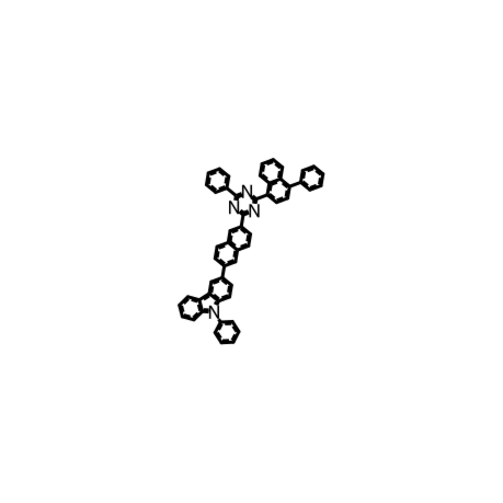 c1ccc(-c2nc(-c3ccc4cc(-c5ccc6c(c5)c5ccccc5n6-c5ccccc5)ccc4c3)nc(-c3ccc(-c4ccccc4)c4ccccc34)n2)cc1